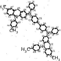 Cc1ccc(N2c3ccc(C)cc3Cc3cc(N(c4ccccc4)c4ccc(-c5ccc(N(c6ccccc6)c6ccc7c(c6)Cc6cc(C)ccc6N7c6ccc(C)cc6)cc5)cc4)ccc32)cc1